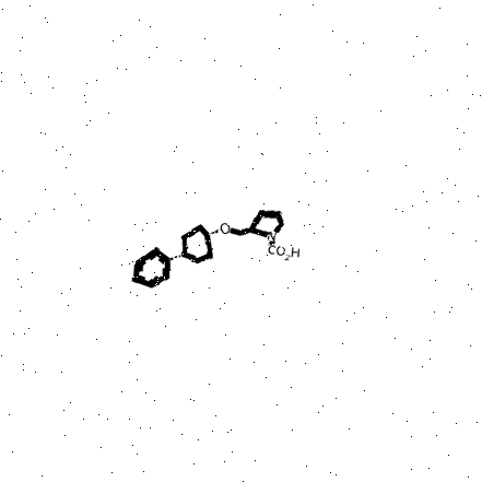 O=C(O)N1CC=CC1CO[C@H]1CC[C@@H](c2ccccc2)CC1